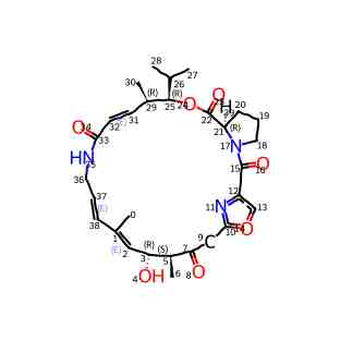 CC1=C\[C@@H](O)[C@H](C)C(=O)Cc2nc(co2)C(=O)N2CCC[C@@H]2C(=O)O[C@H](C(C)C)[C@H](C)/C=C/C(=O)NC\C=C\1